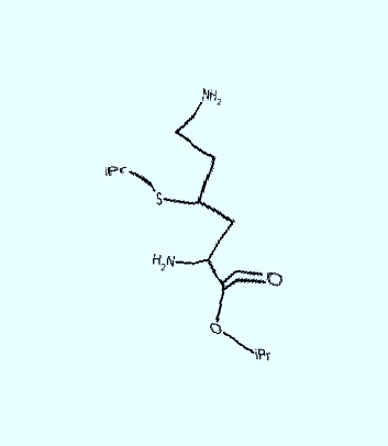 CC(C)OC(=O)C(N)CC(CCN)SC(C)C